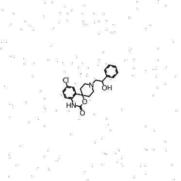 O=C1Nc2ccc(Cl)cc2C2(CCN(CC(O)c3ccccc3)CC2)O1